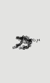 CC(C)(C)OC(=O)N1CCN(Cc2ccc(-c3ccc4c(c(C(=O)Nc5ccncc5)nn4C(=O)O)c3C(C)(C)C)cc2)CC1.CC(C)(C)OC(=O)N1CCN(Cc2ccc(-c3ccc4c(c3)c(C(=O)Nc3ccncc3)nn4C(=O)OC(C)(C)C)cc2)CC1